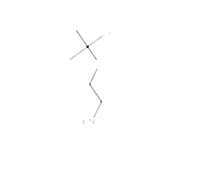 CCC(C)(C)OCC[NH]